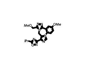 COCc1nnc2n1Cc1c(-c3noc(C(C)C)n3)ncn1-c1ccc(OC)cc1-2